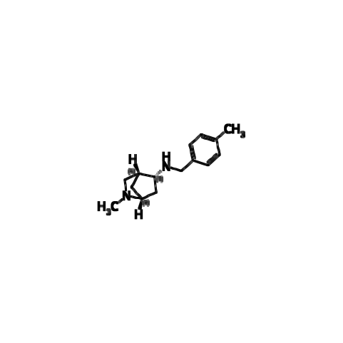 Cc1ccc(CN[C@@H]2C[C@H]3C[C@@H]2CN3C)cc1